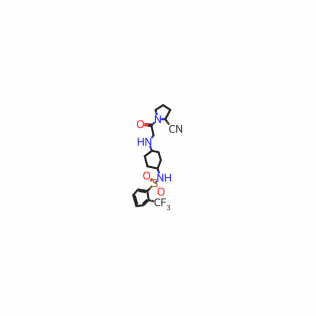 N#CC1CCCN1C(=O)CNC1CCC(NS(=O)(=O)c2ccccc2C(F)(F)F)CC1